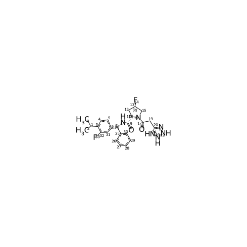 CC(C)c1ccc([C@H](NC(=O)[C@@H]2C[C@@H](F)CN2C(=O)CC2=NNNN2)c2ccccc2)cc1F